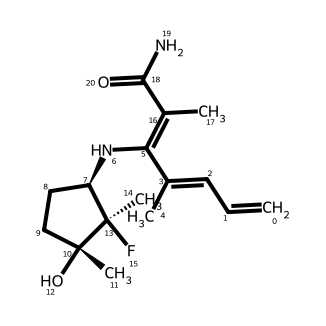 C=C/C=C(C)/C(N[C@@H]1CC[C@@](C)(O)[C@]1(C)F)=C(\C)C(N)=O